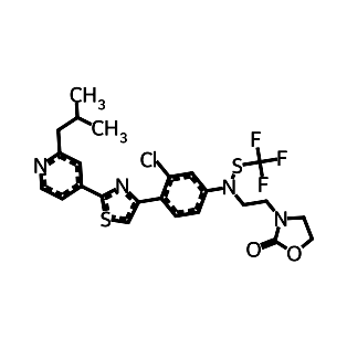 CC(C)Cc1cc(-c2nc(-c3ccc(N(CCN4CCOC4=O)SC(F)(F)F)cc3Cl)cs2)ccn1